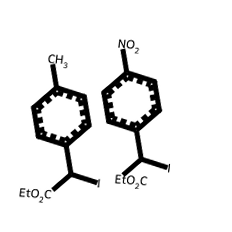 CCOC(=O)C(I)c1ccc(C)cc1.CCOC(=O)C(I)c1ccc([N+](=O)[O-])cc1